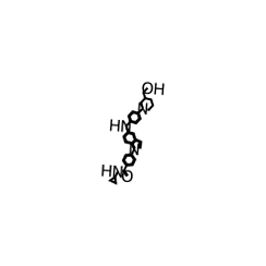 O=C(NC1CC1)c1ccc(-n2ccc3cc(Nc4ccc(N5CCCC(CO)C5)cc4)ccc32)cc1